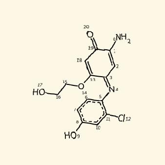 NC1=CC(=Nc2ccc(O)cc2Cl)C(OCCO)=CC1=O